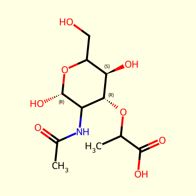 CC(=O)NC1[C@H](O)OC(CO)[C@@H](O)[C@@H]1OC(C)C(=O)O